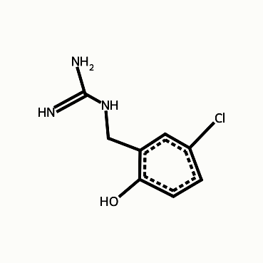 N=C(N)NCc1cc(Cl)ccc1O